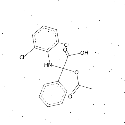 CC(=O)OC(Nc1c(Cl)cccc1Cl)(C(=O)O)c1ccccc1